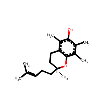 CC(C)=CCC[C@@]1(C)CCc2c(C)c(O)c(C)c(C)c2O1